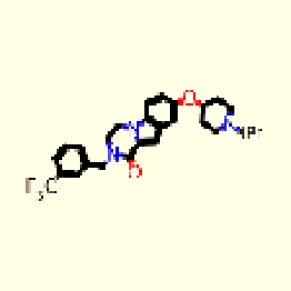 CC(C)N1CCC(Oc2ccc3c(c2)cc2n3CCN(Cc3cccc(C(F)(F)F)c3)C2=O)CC1